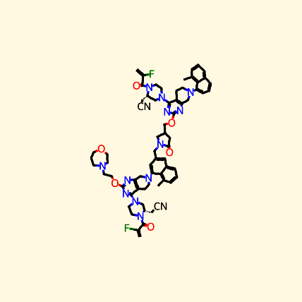 C=C(F)C(=O)N1CCN(c2nc(OCCN3CCCOCC3)nc3c2CCN(c2cc(CN4CC(COc5nc6c(c(N7CCN(C(=O)C(=C)F)[C@@H](CC#N)C7)n5)CCN(c5cccc7cccc(C)c57)C6)CC4=O)cc4cccc(C)c24)C3)C[C@@H]1CC#N